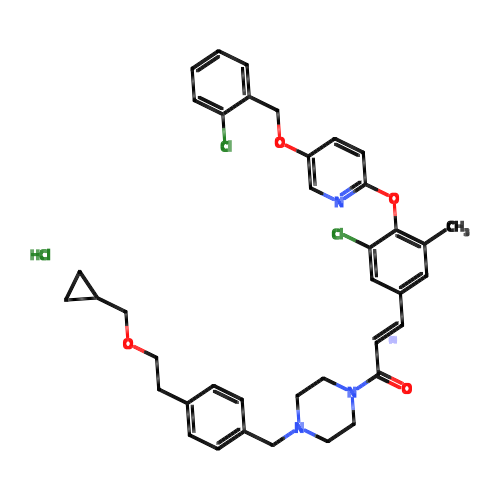 Cc1cc(/C=C/C(=O)N2CCN(Cc3ccc(CCOCC4CC4)cc3)CC2)cc(Cl)c1Oc1ccc(OCc2ccccc2Cl)cn1.Cl